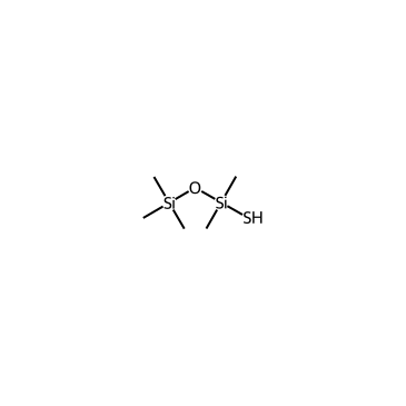 C[Si](C)(C)O[Si](C)(C)S